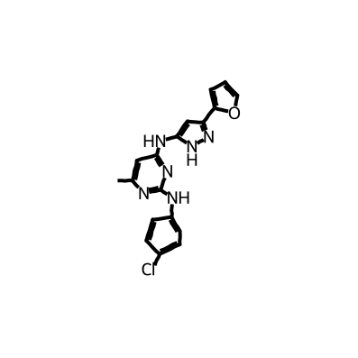 Cc1cc(Nc2cc(-c3ccco3)n[nH]2)nc(Nc2ccc(Cl)cc2)n1